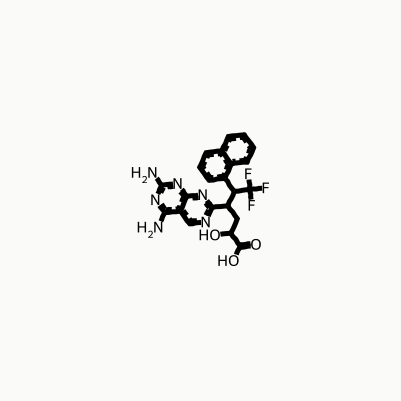 Nc1nc(N)c2cnc(C(CC(O)C(=O)O)C(c3cccc4ccccc34)C(F)(F)F)nc2n1